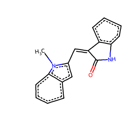 Cn1c(/C=C2\C(=O)Nc3ccccc32)cc2ccccc21